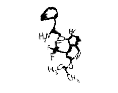 CC(C)Oc1cc(C(F)(F)F)c2c(OCC(N)c3ccccc3)c(Br)ccc2n1